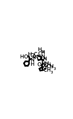 CC1(C)c2[nH]nc(NC(=O)C3(S(C)(C)C)CCC3)c2CN1C(=O)NC(CO)C1CCCCC1